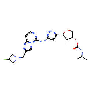 CC(C)NC(=O)O[C@@H]1CO[C@H](c2cc(Nc3nccc4nc(CN5CC(F)C5)cn34)n[nH]2)[C@H]1F